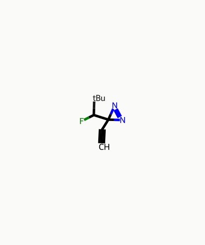 C#CC1(C(F)C(C)(C)C)N=N1